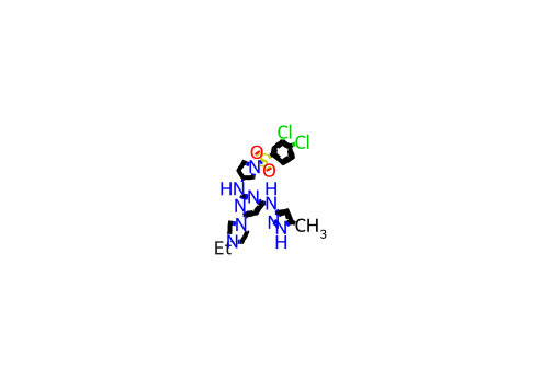 CCN1CCN(c2cc(Nc3cc(C)[nH]n3)nc(N[C@H]3CCN(S(=O)(=O)c4ccc(Cl)c(Cl)c4)C3)n2)CC1